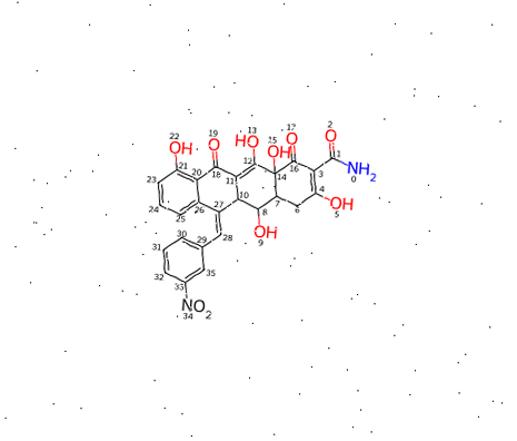 NC(=O)C1=C(O)CC2C(O)C3C(=C(O)C2(O)C1=O)C(=O)c1c(O)cccc1/C3=C\c1cccc([N+](=O)[O-])c1